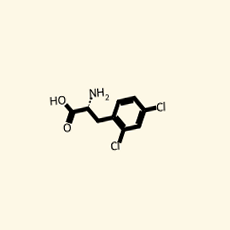 N[C@H](Cc1ccc(Cl)cc1Cl)C(=O)O